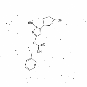 CC(C)(C)n1nc(OC(=O)NCc2ccccc2)cc1C1CCC(O)C1